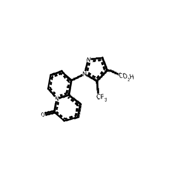 O=C(O)c1cnn(-c2cccn3c(=O)cccc23)c1C(F)(F)F